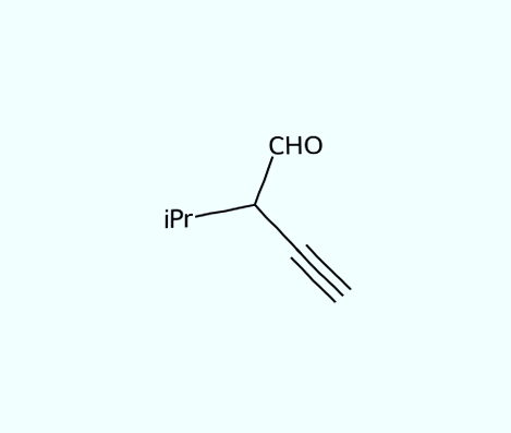 C#CC(C=O)C(C)C